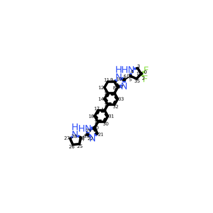 FC1(F)CN[C@H](c2nc3c([nH]2)CCc2cc(-c4ccc(-c5cnc([C@@H]6CCCN6)[nH]5)cc4)ccc2-3)C1